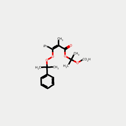 CC(C(=O)OC(C)(C)OC(=O)O)=C(OOC(C)(C)c1ccccc1)C(C)C